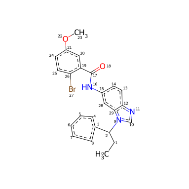 CCC(c1ccccc1)n1cnc2ccc(NC(=O)c3cc(OC)ccc3Br)cc21